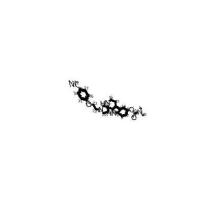 CN(C)C(=O)Oc1ccc2[nH]c3c(c2c1)CCNC31CCN(CCOc2ccc(C#N)cc2)C1